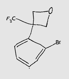 FC(F)(F)C1(c2cc[c]cc2Br)COC1